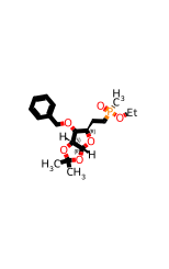 CCOP(C)(=O)CC[C@H]1O[C@@H]2OC(C)(C)O[C@H]2C1OCc1ccccc1